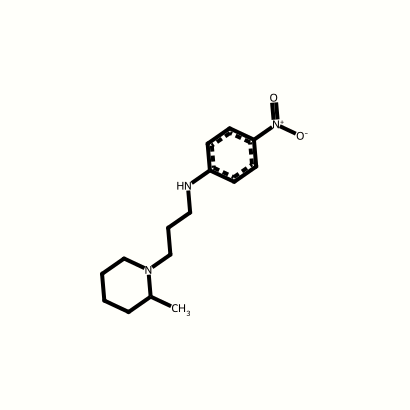 CC1CCCCN1CCCNc1ccc([N+](=O)[O-])cc1